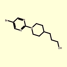 OCCCC1CCN(c2ncc(Br)cn2)CC1